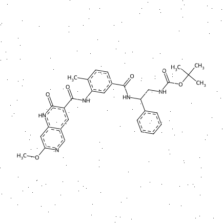 COc1cc2[nH]c(=O)c(C(=O)Nc3cc(C(=O)NC(CNC(=O)OC(C)(C)C)c4ccccc4)ccc3C)cc2cn1